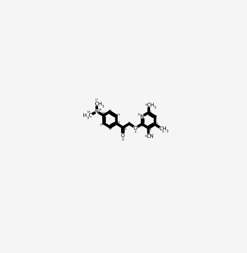 Cc1cc(C)c(C#N)c(OCC(=O)c2ccc(N(C)C)cc2)n1